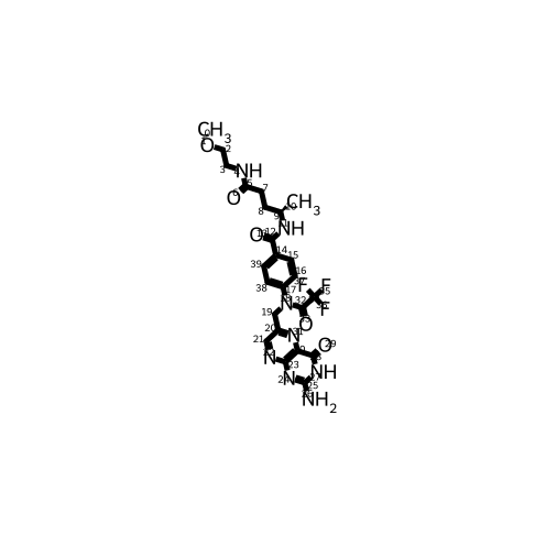 COCCNC(=O)CC[C@@H](C)NC(=O)c1ccc(N(Cc2cnc3nc(N)[nH]c(=O)c3n2)C(=O)C(F)(F)F)cc1